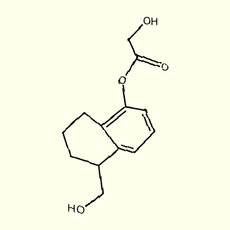 O=C(CO)Oc1cccc2c1CCCC2CO